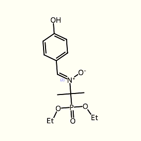 CCOP(=O)(OCC)C(C)(C)/[N+]([O-])=C/c1ccc(O)cc1